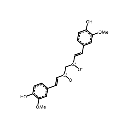 COc1cc(/C=C/[S+]([O-])C[S+]([O-])/C=C/c2ccc(O)c(OC)c2)ccc1O